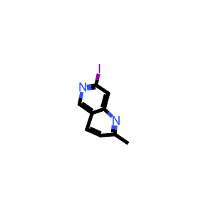 Cc1ccc2cnc(I)cc2n1